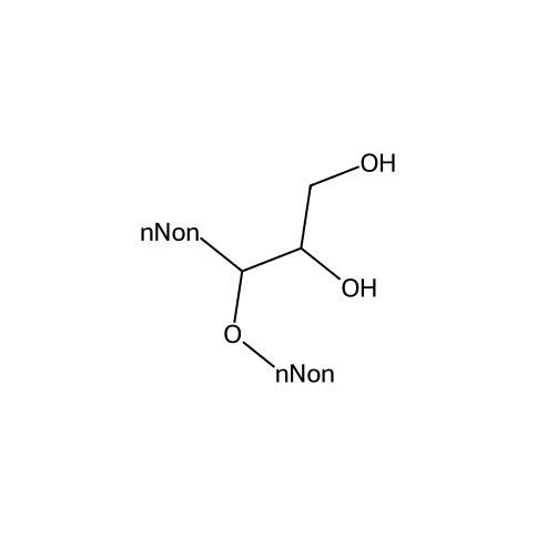 CCCCCCCCCOC(CCCCCCCCC)C(O)CO